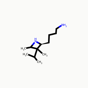 CC(C)C1(C)C(C)N[C@H]1CCCCN